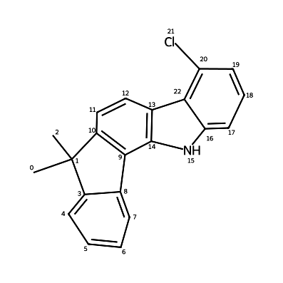 CC1(C)c2ccccc2-c2c1ccc1c2[nH]c2cccc(Cl)c21